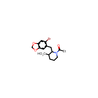 CCC(=O)N1CCCC(C(=O)O)C1Cc1cc2c(cc1Br)OCO2